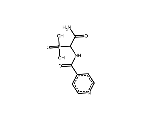 NC(=O)C(NC(=O)c1ccncc1)P(=O)(O)O